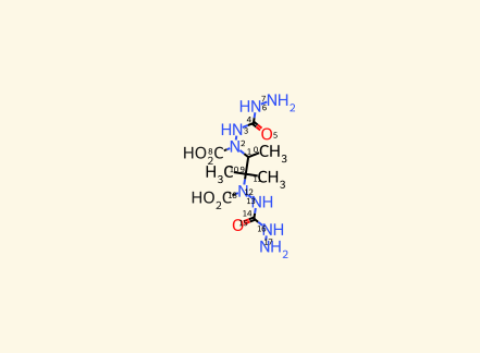 CC(N(NC(=O)NN)C(=O)O)C(C)(C)N(NC(=O)NN)C(=O)O